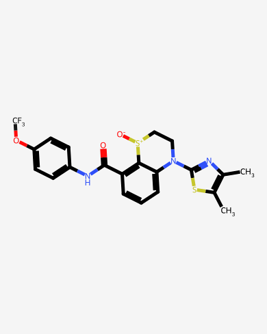 Cc1nc(N2CC[S+]([O-])c3c(C(=O)Nc4ccc(OC(F)(F)F)cc4)cccc32)sc1C